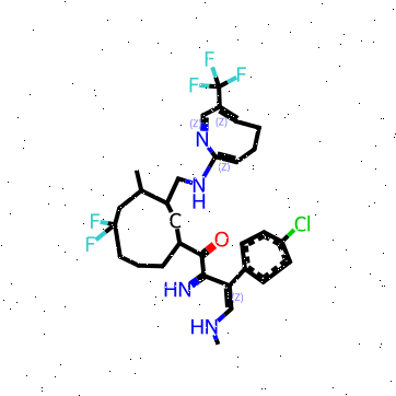 CN/C=C(\C(=N)C(=O)C1CCCC(F)(F)CC(C)C(CNC2=C/CC/C=C(C(F)(F)F)/C=N\2)C1)c1ccc(Cl)cc1